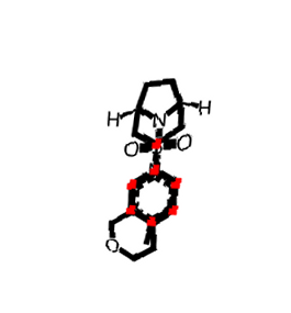 CC1CCN([C@@H]2C[C@H]3CC[C@@H](C2)N3S(=O)(=O)c2ccc3c(c2)COCC3)CC1